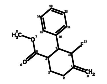 C=C1CCC(C(=O)OC)C(c2ccccc2)C1F